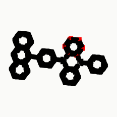 c1ccc(N(c2ccccc2)c2ccccc2N(c2ccccc2)c2ccc(-c3c4ccccc4cc4ccccc34)cc2)cc1